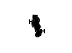 COc1ccc(Nc2cc3c(cn2)cc(-c2cc(NC(=O)c4cccc(C(F)(F)F)c4)ccc2C)c(=O)n3C)cn1